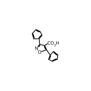 O=C(O)c1c(-c2ccccc2)noc1-c1ccccc1